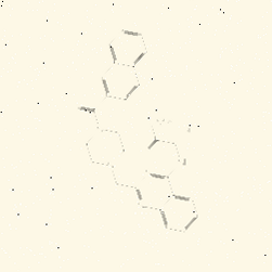 COC(=O)[C@@H](Nc1nc(CN2CCN(C(=O)c3ccc4ccccc4c3)CC2)nc2ccccc12)C(C)C